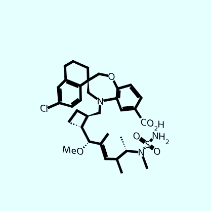 CO[C@@H](/C(C)=C/C(C)[C@H](C)N(C)S(N)(=O)=O)[C@@H]1CC[C@H]1CN1C[C@@]2(CCCc3cc(Cl)ccc32)COc2ccc(C(=O)O)cc21